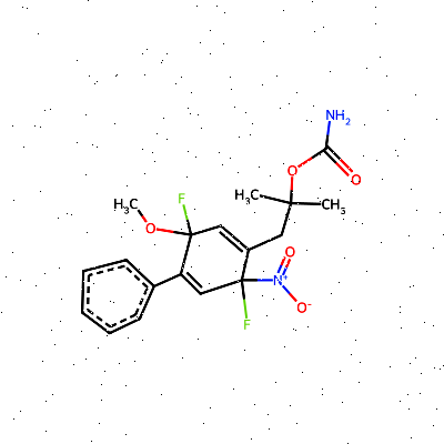 COC1(F)C=C(CC(C)(C)OC(N)=O)C(F)([N+](=O)[O-])C=C1c1ccccc1